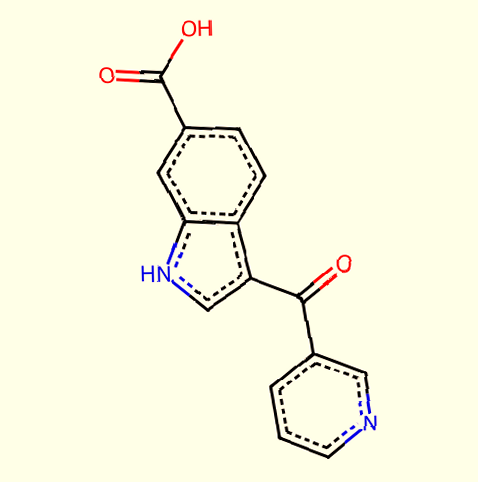 O=C(O)c1ccc2c(C(=O)c3cccnc3)c[nH]c2c1